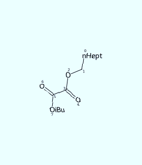 CCCCCCCCOC(=O)C(=O)OCC(C)C